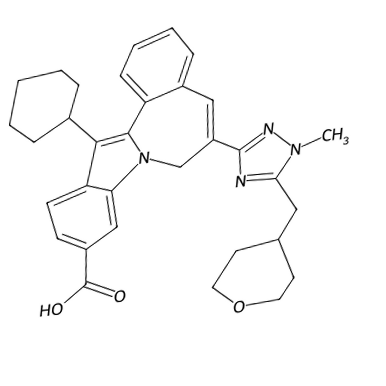 Cn1nc(C2=Cc3ccccc3-c3c(C4CCCCC4)c4ccc(C(=O)O)cc4n3C2)nc1CC1CCOCC1